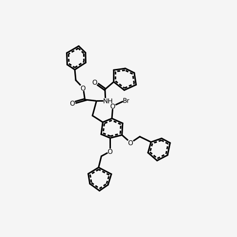 O=C(NC(Cc1cc(OCc2ccccc2)c(OCc2ccccc2)cc1OBr)C(=O)OCc1ccccc1)c1ccccc1